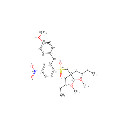 CCCCC(CCCC)(CS(=O)(=O)c1ccc([N+](=O)[O-])cc1Cc1ccc(OC)cc1)C(OC)OC